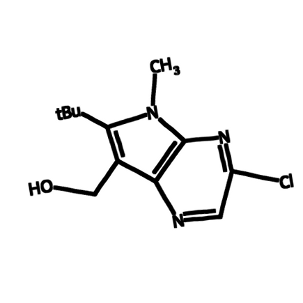 Cn1c(C(C)(C)C)c(CO)c2ncc(Cl)nc21